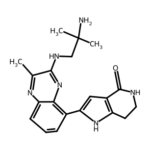 Cc1nc2cccc(-c3cc4c([nH]3)CCNC4=O)c2nc1NCC(C)(C)N